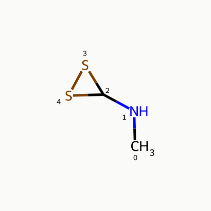 CNC1SS1